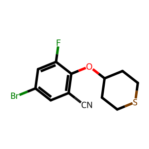 N#Cc1cc(Br)cc(F)c1OC1CCSCC1